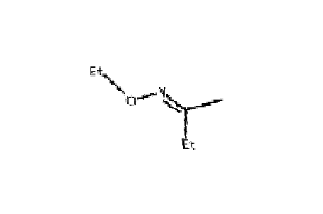 CCO/N=C(/C)CC